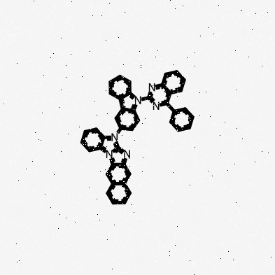 c1ccc(-c2nc(-n3c4ccccc4c4cc(-n5c6ccccc6n6c7cc8ccccc8cc7nc56)ccc43)nc3ccccc23)cc1